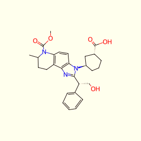 COC(=O)N1c2ccc3c(nc([C@H](CO)c4ccccc4)n3[C@@H]3CCC[C@@H](C(=O)O)C3)c2CCC1C